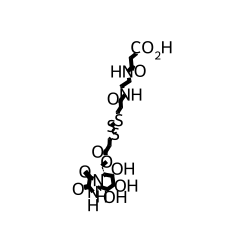 O=C(O)CCC(=O)NCCNC(=O)CCSSSCCC(=O)OC[C@@H]1[C@@H](O)[C@H](O)[C@H](O)[C@H]2NC(=O)C(=O)N12